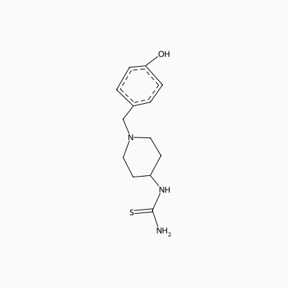 NC(=S)NC1CCN(Cc2ccc(O)cc2)CC1